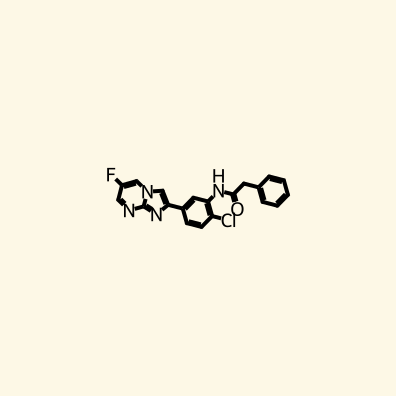 O=C(Cc1ccccc1)Nc1cc(-c2cn3cc(F)cnc3n2)ccc1Cl